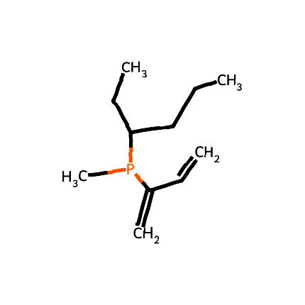 C=CC(=C)P(C)C(CC)CCC